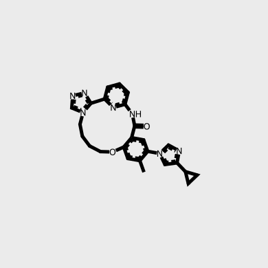 Cc1cc2c(cc1-n1cnc(C3CC3)c1)C(=O)Nc1cccc(n1)-c1nncn1CCCCO2